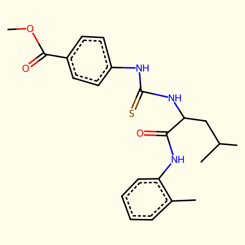 COC(=O)c1ccc(NC(=S)NC(CC(C)C)C(=O)Nc2ccccc2C)cc1